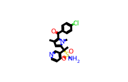 Cc1cc(C(C)(c2cccnc2)S(N)(=O)=O)n(C)c1C(=O)c1ccc(Cl)cc1